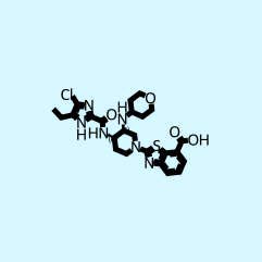 CCc1[nH]c(C(=O)N[C@@H]2CCN(c3nc4cccc(C(=O)O)c4s3)C[C@@H]2NC2CCOCC2)nc1Cl